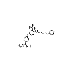 N=C(N)C1CCN(Cc2ccc(OCCCCCc3ccccc3)c(C(F)(F)F)c2)CC1